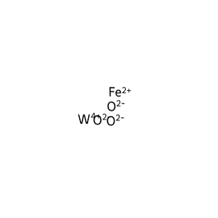 [Fe+2].[O-2].[O-2].[O-2].[W+4]